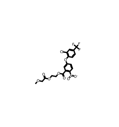 COCC(=O)OCCOC(=O)c1cc(Oc2ccc(C(F)(F)F)cc2Cl)ccc1[N+](=O)[O-]